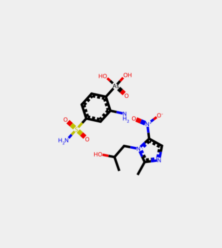 Cc1ncc([N+](=O)[O-])n1CC(C)O.Nc1cc(S(N)(=O)=O)ccc1[As](=O)(O)O